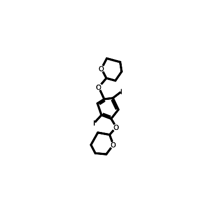 Ic1cc(OC2CCCCO2)c(I)cc1OC1CCCCO1